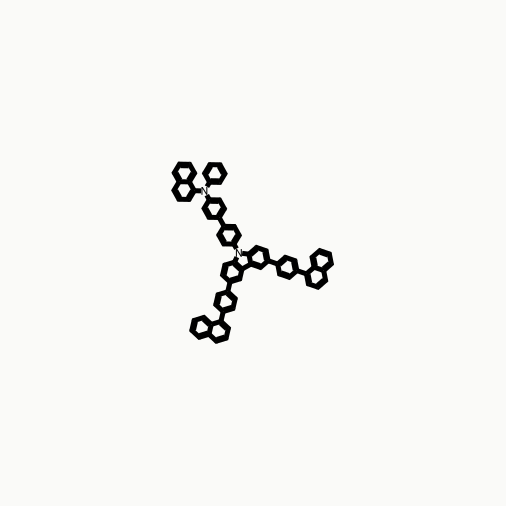 c1ccc(N(c2ccc(-c3ccc(-n4c5ccc(-c6ccc(-c7cccc8ccccc78)cc6)cc5c5cc(-c6ccc(-c7cccc8ccccc78)cc6)ccc54)cc3)cc2)c2cccc3ccccc23)cc1